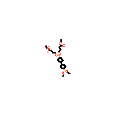 CCOC(=O)CCCOP(OCCCC(=O)OCC)c1ccc(-c2ccc(P(OCC)OCC)cc2)cc1